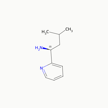 CC(C)C[C@H](N)c1ccccn1